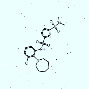 CN(C)S(=O)(=O)c1ccc(S(=O)(=O)Nc2cccc(Cl)c2N2CCCCCC2)s1